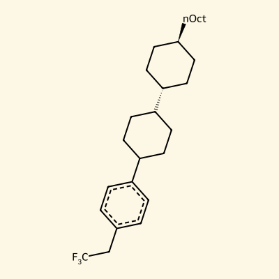 CCCCCCCC[C@H]1CC[C@H](C2CCC(c3ccc(CC(F)(F)F)cc3)CC2)CC1